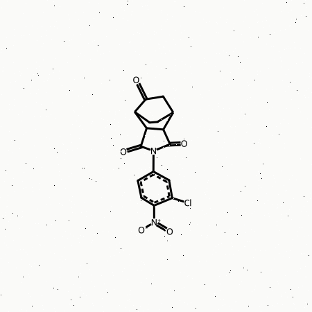 O=C1CC2CCC1C1C(=O)N(c3ccc([N+](=O)[O-])c(Cl)c3)C(=O)C21